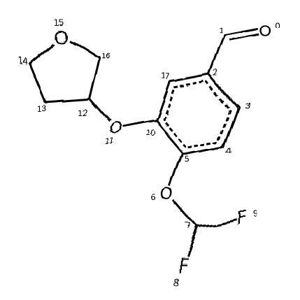 O=Cc1ccc(OC(F)F)c(OC2CCOC2)c1